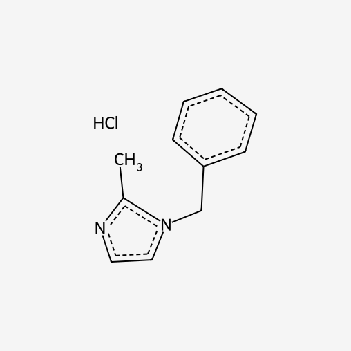 Cc1nccn1Cc1ccccc1.Cl